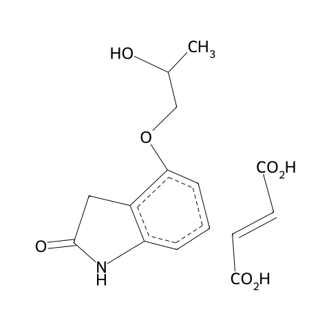 CC(O)COc1cccc2c1CC(=O)N2.O=C(O)C=CC(=O)O